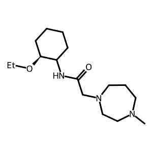 CCO[C@H]1CCCCC1NC(=O)CN1CCCN(C)CC1